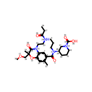 CCCN(C(=O)c1cc2c(cc1C)OC(C)(COC)C(=O)N2CCNC(=O)CC)[C@@H]1CCCN(C(=O)O)C1